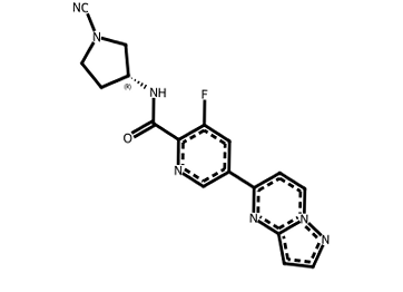 N#CN1CC[C@@H](NC(=O)c2ncc(-c3ccn4nccc4n3)cc2F)C1